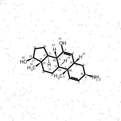 C[C@]12C=C[C@H](N)C[C@H]1C=C(O)[C@@H]1[C@@H]2CC[C@]2(C)[C@@H](O)CC[C@@H]12